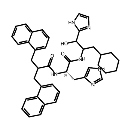 O=C(N[C@@H](Cc1c[nH]cn1)C(=O)NC(CC1CCCCC1)C(O)c1ncc[nH]1)C(Cc1cccc2ccccc12)Cc1cccc2ccccc12